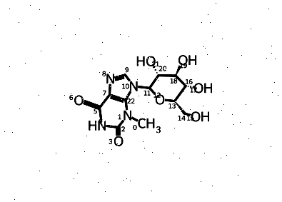 Cn1c(=O)[nH]c(=O)c2ncn(C3O[C@H](CO)[C@@H](O)[C@H](O)[C@H]3O)c21